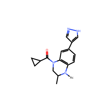 CC(=O)N1c2ccc(-c3cn[nH]c3)cc2N(C(=O)C2CC2)CC1C